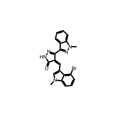 Cn1cc(C=C2C(=O)NN=C2c2nn(C)c3ccccc23)c2c(Br)cccc21